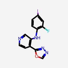 Fc1cc(I)ccc1Nc1cnccc1-c1nnco1